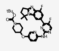 CC(C)(C)OC(=O)N1CCC(Oc2ccc(Nc3ncc(F)c(-c4cc(F)c5nc6n(c5c4)C(C)(C)CC6)n3)nc2)CC1